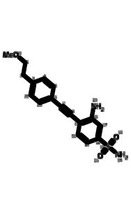 COCCc1ccc(C#Cc2ccc(S(N)(=O)=O)cc2N)cc1